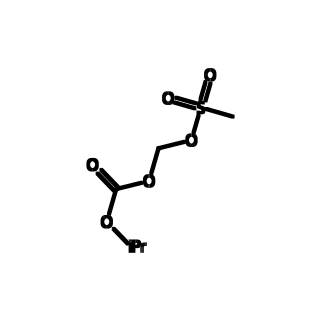 CC(C)OC(=O)OCOS(C)(=O)=O